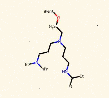 CCCC(C)O[SiH2]CN(CCCNC(CC)CC)CCCN(CC)CCC